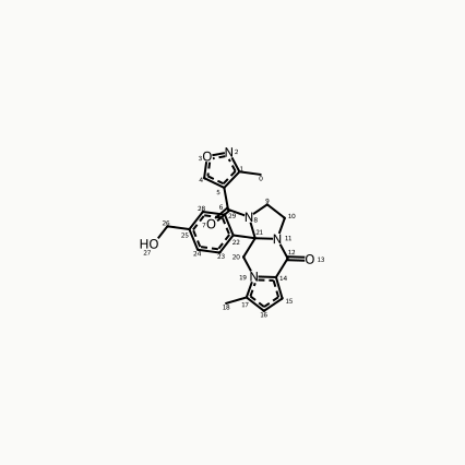 Cc1nocc1C(=O)N1CCN2C(=O)c3ccc(C)n3CC12c1ccc(CO)cc1